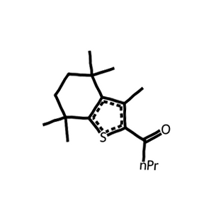 CCCC(=O)c1sc2c(c1C)C(C)(C)CCC2(C)C